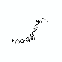 CCOC(=O)CCN1CCN(CCc2ccc(Nc3ncc(-c4ccc(OC)cc4)cn3)cc2)CC1